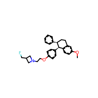 COc1ccc2c(c1)CC[C@H](c1ccccc1)[C@@H]2c1ccc(OCCN2CC(CF)C2)cc1